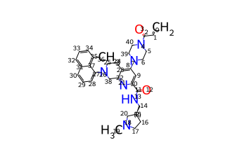 C=CC(=O)N1CCN(c2cc(C(=O)NC[C@H]3CCN(C)C3)nc3c2CCN(c2cccc4cccc(C)c24)C3)CC1